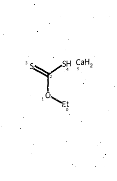 CCOC(=S)S.[CaH2]